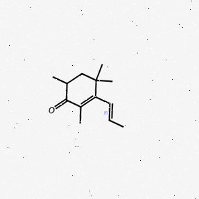 C/C=C/C1=C(C)C(=O)C(C)CC1(C)C